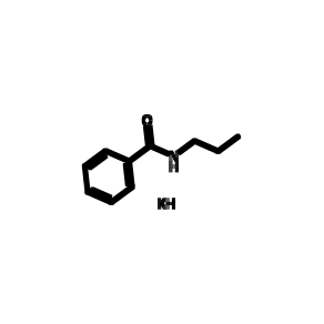 CCCNC(=O)c1ccccc1.[KH]